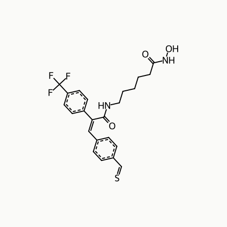 O=C(CCCCCNC(=O)C(=Cc1ccc(C=S)cc1)c1ccc(C(F)(F)F)cc1)NO